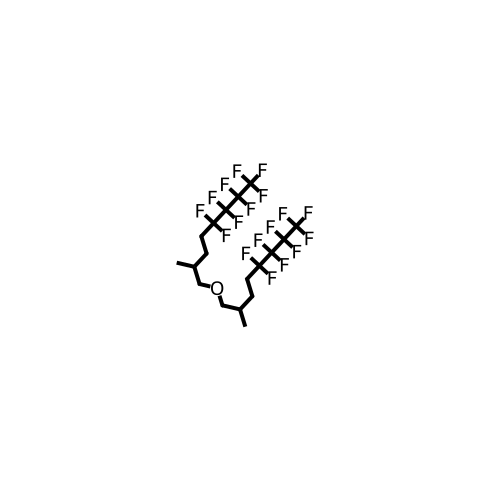 CC(CCC(F)(F)C(F)(F)C(F)(F)C(F)(F)F)COCC(C)CCC(F)(F)C(F)(F)C(F)(F)C(F)(F)F